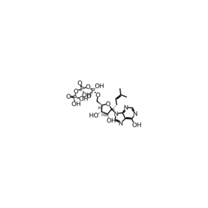 CC(C)=CC[C@@]1(n2cnc3c(O)ncnc32)O[C@H](COP(=O)(O)OP(=O)(O)OP(=O)(O)O)[C@@H](O)[C@H]1O